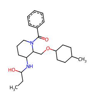 CCC(O)NC1CCCN(C(=O)c2ccccc2)C1COC1CCC(C)CC1